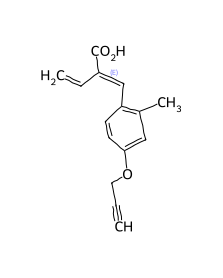 C#CCOc1ccc(/C=C(\C=C)C(=O)O)c(C)c1